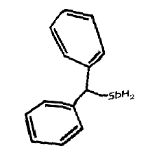 [SbH2][CH](c1ccccc1)c1ccccc1